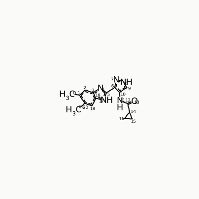 Cc1cc2nc(-c3n[nH]cc3NC(=O)C3CC3)[nH]c2cc1C